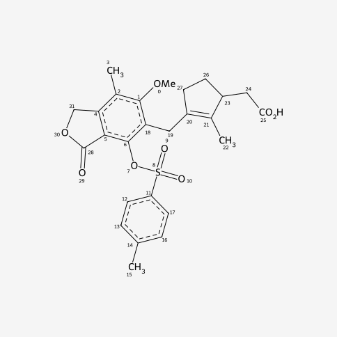 COc1c(C)c2c(c(OS(=O)(=O)c3ccc(C)cc3)c1CC1=C(C)C(CC(=O)O)CC1)C(=O)OC2